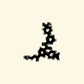 CCSNc1ccc(C(=O)Nc2nccc(C3CCC(F)(F)CC3)n2)c(N2CCC3(CC2)CC3)c1